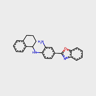 Nc1cc(-c2nc3ccccc3o2)ccc1NC1CCCc2ccccc21